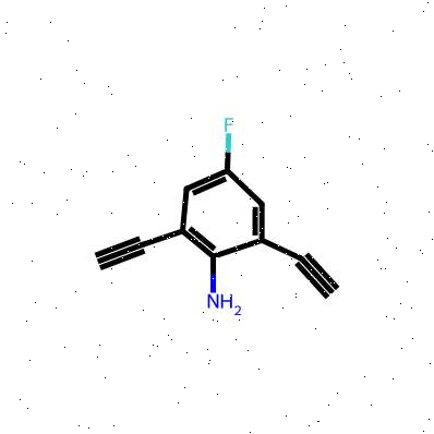 C#Cc1cc(F)cc(C#C)c1N